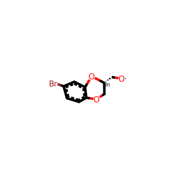 [O]C[C@@H]1COc2ccc(Br)cc2O1